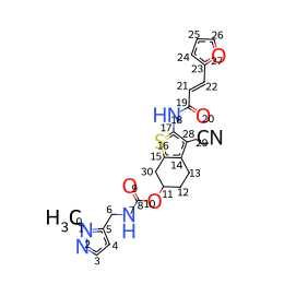 Cn1nccc1CNC(=O)OC1CCc2c(sc(NC(=O)C=Cc3ccco3)c2C#N)C1